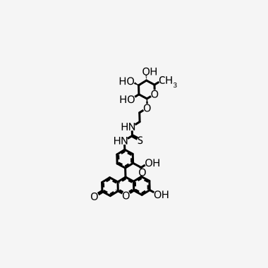 CC1O[C@@H](OCCNC(=S)Nc2ccc(-c3c4ccc(=O)cc-4oc4cc(O)ccc34)c(C(=O)O)c2)C(O)[C@@H](O)[C@@H]1O